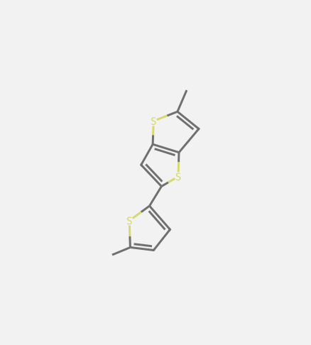 Cc1ccc(-c2cc3sc(C)cc3s2)s1